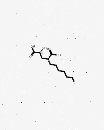 N[C@@H](CC(CCCCCCF)C(=O)O)C(=O)O